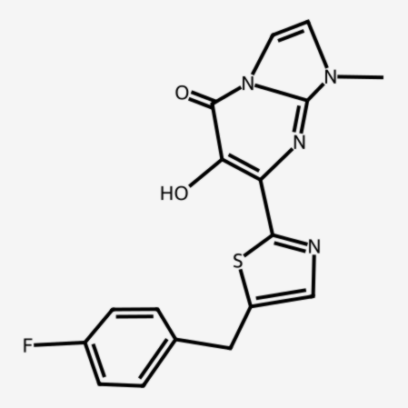 Cn1ccn2c(=O)c(O)c(-c3ncc(Cc4ccc(F)cc4)s3)nc12